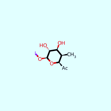 CC(=O)[C@H]1O[C@@H](OI)[C@H](O)[C@@H](O)[C@H]1C